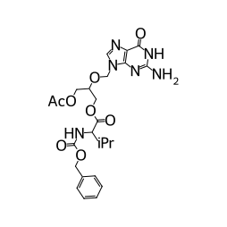 CC(=O)OCC(COC(=O)C(NC(=O)OCc1ccccc1)C(C)C)OCn1cnc2c(=O)[nH]c(N)nc21